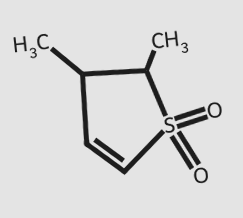 CC1C=CS(=O)(=O)C1C